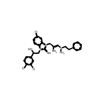 N=c1n(C/C(N)=C/N(N)CCc2ccccc2)c2cc(Cl)ccc2n1CC(O)c1ccc(Cl)c(Cl)c1